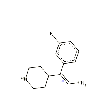 C/C=C(\c1cccc(F)c1)C1CCNCC1